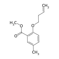 C=CCCOc1ccc(C)cc1C(=O)OC